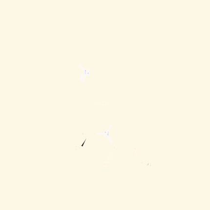 Cc1csc(C(=O)C[C@H](C(C)C)N(C)C(=O)OC(C)(C)C)n1